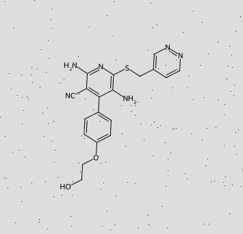 N#Cc1c(N)nc(SCc2ccnnc2)c(N)c1-c1ccc(OCCO)cc1